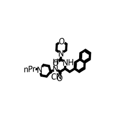 CCCN1CCC(C#N)(NC(=O)C(Cc2ccc3ccccc3c2)NC(=O)N2CCOCC2)CC1